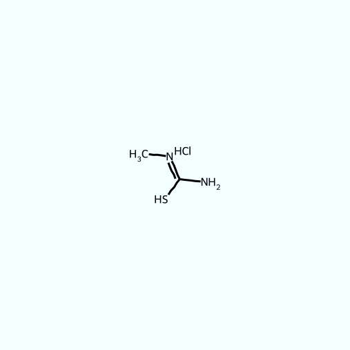 CN=C(N)S.Cl